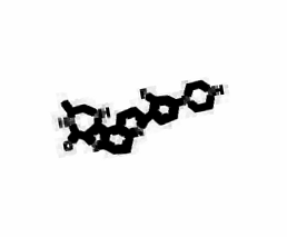 CC1CNc2c(sc3ccc4nc(-c5ccc(N6CCNCC6)cc5F)ccc4c23)C(=O)N1